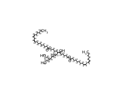 CCCCC/C=C\C/C=C\CCCCCCCC(=O)OCCCCCC(O)C(CCCCOC(=O)CCCCCCC/C=C\C/C=C\CCCCC)CNCCCN(CCO)CCO